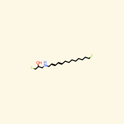 OC(CF)CNC/C=C/C=C/CCCCCCCCF